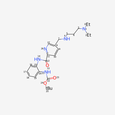 CCN(CC)CCCNCc1ccc(C(=O)Nc2ccccc2NC(=O)OC(C)(C)C)nc1